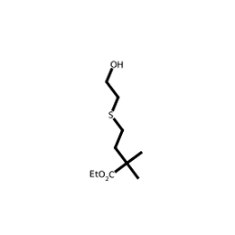 CCOC(=O)C(C)(C)CCSCCO